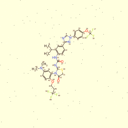 CC(C)c1cc(-c2ncn(-c3ccc(OC(F)(F)F)cc3)n2)ccc1NC(=O)/N=C1\SCC(=O)N1c1cc(N(C)C)ccc1OCCC(F)(F)F